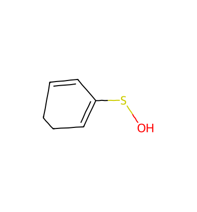 OSC1=CCCC=C1